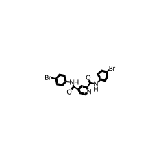 O=C(Nc1ccc(Br)cc1)c1ccnc(C(=O)Nc2ccc(Br)cc2)c1